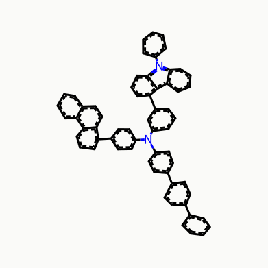 c1ccc(-c2ccc(-c3ccc(N(c4ccc(-c5cccc6c5ccc5ccccc56)cc4)c4cccc(-c5cccc6c5c5ccccc5n6-c5ccccc5)c4)cc3)cc2)cc1